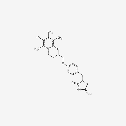 Cc1c(C)c2c(c(C)c1O)CCC(COc1ccc(CC3SC(=N)NC3=O)cc1)O2